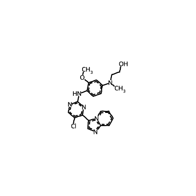 COc1cc(N(C)CCO)ccc1Nc1ncc(Cl)c(-c2cnc3ccccn23)n1